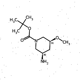 CO[C@H]1C[C@@H](N)CN(C(=O)OC(C)(C)C)C1